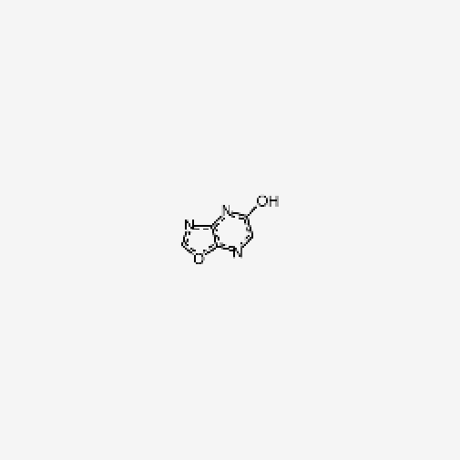 Oc1cnc2ocnc2n1